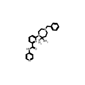 BC1(B)CCN(Cc2ccccc2)CCN1c1cccc(C(=O)Nc2ccncc2)n1